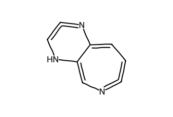 C1=CC=C2N=C=CNC2=CN=1